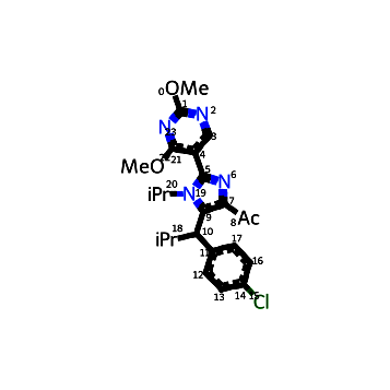 COc1ncc(-c2nc(C(C)=O)c(C(c3ccc(Cl)cc3)C(C)C)n2C(C)C)c(OC)n1